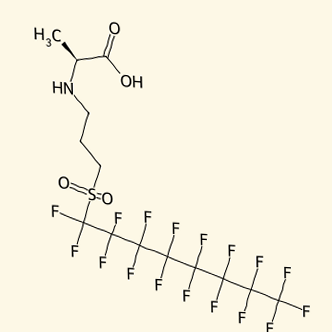 C[C@H](NCCCS(=O)(=O)C(F)(F)C(F)(F)C(F)(F)C(F)(F)C(F)(F)C(F)(F)C(F)(F)C(F)(F)F)C(=O)O